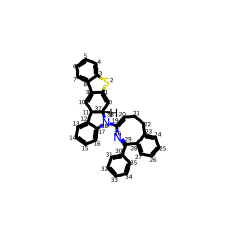 C1=c2sc3ccccc3c2=CC2c3ccccc3N(C3=C/CCc4ccccc4/C(c4ccccc4)=N\3)[C@@H]12